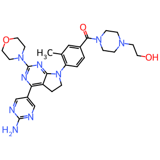 Cc1cc(C(=O)N2CCN(CCO)CC2)ccc1N1CCc2c(-c3cnc(N)nc3)nc(N3CCOCC3)nc21